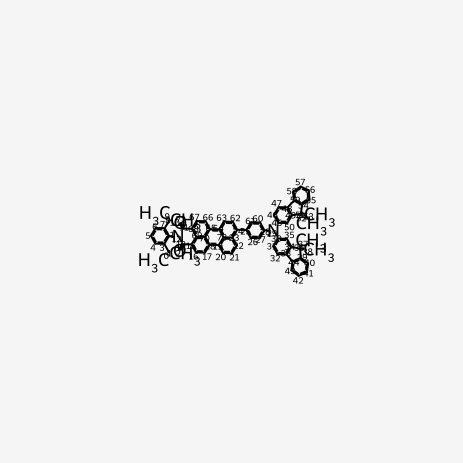 CC(C)c1cccc(C(C)C)c1N1C(=O)c2ccc3c4cccc5c(-c6ccc(N(c7ccc8c(c7)C(C)(C)c7ccccc7-8)c7ccc8c(c7)C(C)(C)c7ccccc7-8)cc6)ccc(c6ccc(c2c36)C1=O)c54